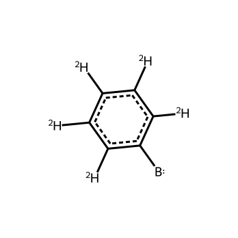 [2H]c1c([2H])c([2H])c([B])c([2H])c1[2H]